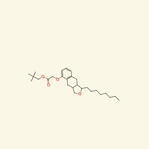 CCCCCCCCC1OCC2Cc3c(cccc3OCC(=O)OCC(C)(C)C)CC21